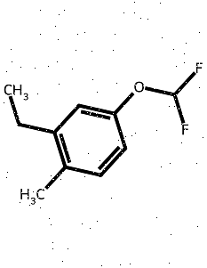 CCc1cc(OC(F)F)ccc1C